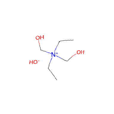 CC[N+](CC)(CO)CO.[OH-]